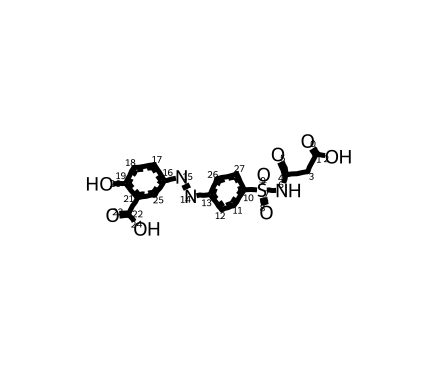 O=C(O)CC(=O)NS(=O)(=O)c1ccc(N=Nc2ccc(O)c(C(=O)O)c2)cc1